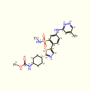 CCNS(=O)(=O)c1cc(Nc2cc(C(C)C)cnn2)ccc1-c1cnc([C@H]2CC[C@H](NC(=O)OC(C)C)CC2)s1